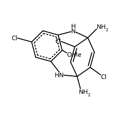 COc1c2cc(Cl)cc1NC1(N)C=C(Cl)C(N)(C=C1Cl)N2